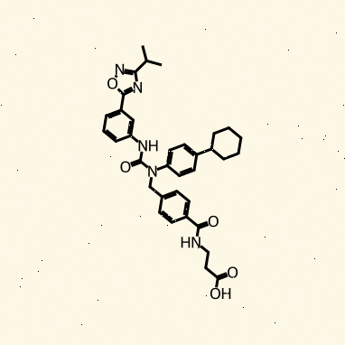 CC(C)c1noc(-c2cccc(NC(=O)N(Cc3ccc(C(=O)NCCC(=O)O)cc3)c3ccc(C4CCCCC4)cc3)c2)n1